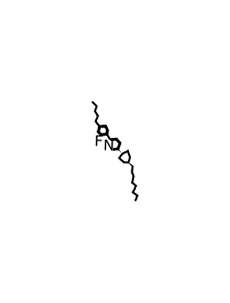 CCCCCCCC[C@H]1CC[C@H](c2ccc(-c3ccc(CCCCC)cc3F)nc2)CC1